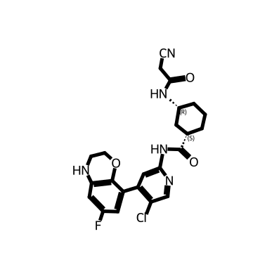 N#CCC(=O)N[C@@H]1CCC[C@H](C(=O)Nc2cc(-c3cc(F)cc4c3OCCN4)c(Cl)cn2)C1